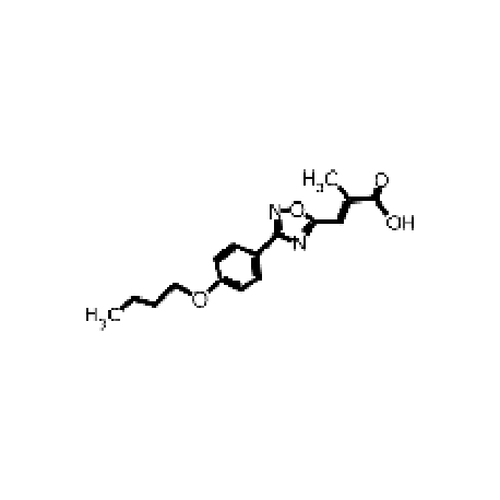 CCCCOc1ccc(-c2noc(/C=C(\C)C(=O)O)n2)cc1